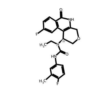 CCN(C(=O)Nc1ccc(F)c(C)c1)[C@@H]1COCc2[nH]c(=O)c3ccc(F)cc3c21